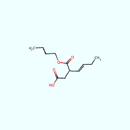 CCC=CC(CC(=O)O)C(=O)OCCCC